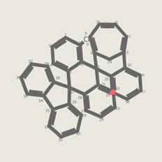 Clc1cccc2c1C1(C3=CC=CC=C(C3)c3ccccc31)c1ccccc1C21c2ccccc2-c2ccccc21